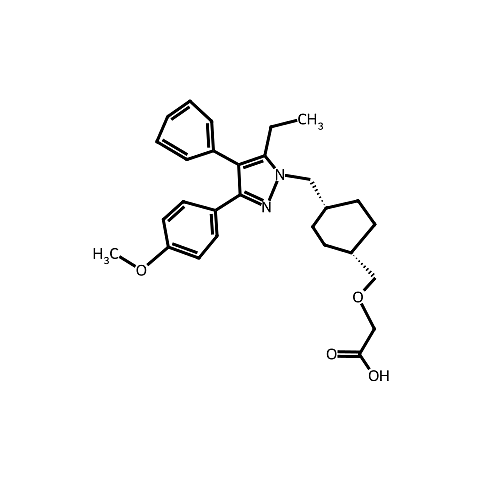 CCc1c(-c2ccccc2)c(-c2ccc(OC)cc2)nn1C[C@H]1CC[C@@H](COCC(=O)O)CC1